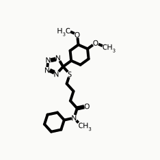 COC1CCC(C2(SCCCC(=O)N(C)C3CCCCC3)N=NN=N2)CC1OC